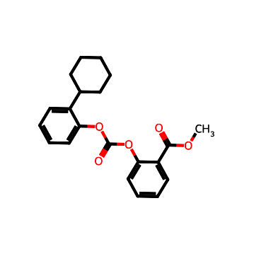 COC(=O)c1ccccc1OC(=O)Oc1ccccc1C1CCCCC1